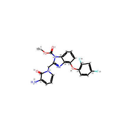 CC(C)(C)OC(=O)n1c(Cn2cccc(N)c2=O)nc2c(Oc3ccc(F)cc3F)cccc21